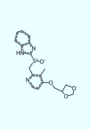 Cc1c(OCC2COCO2)ccnc1C[S+]([O-])c1nc2ccccc2[nH]1